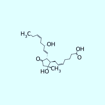 CC/C=C\C[C@H](O)/C=C/[C@H]1C(=O)C[C@@](C)(O)[C@@H]1C/C=C\CCCC(=O)O